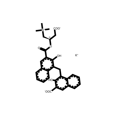 C[N+](C)(C)C[C@@H](CC(=O)[O-])OC(=O)c1cc2ccccc2c(Cc2c(O)c(C(=O)[O-])cc3ccccc23)c1O.[K+]